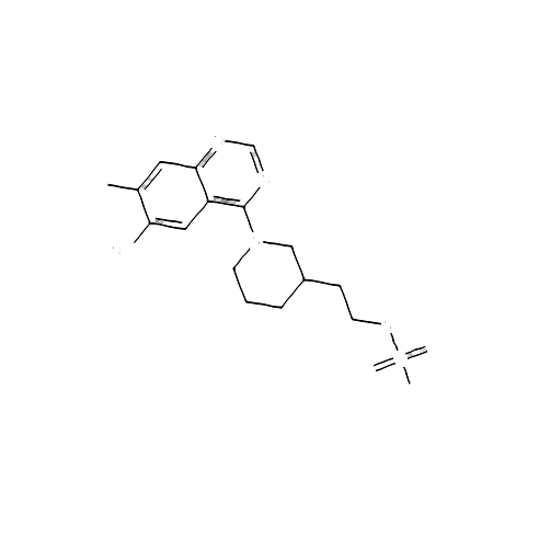 CS(=O)(=O)NCCC1CCCN(c2ncnc3cc(F)c(C#N)cc23)C1